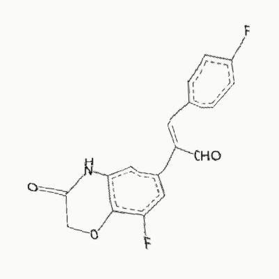 O=CC(=Cc1ccc(F)cc1)c1cc(F)c2c(c1)NC(=O)CO2